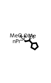 CCC[Si](CC(CC)C1CCCC1)(OC)OC